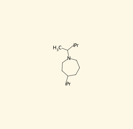 CC(C)C1CCCN(C(C)C(C)C)CC1